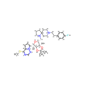 CSc1ncnn2c([C@@H]3O[C@H](CN4CCCC45CCN(CCc4ccc(F)cc4)CC5)[C@H]4OC(C)(C)O[C@H]43)ccc12